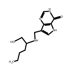 CCCCC(CO)NCc1c[nH]c2c(=O)[nH]cnc12